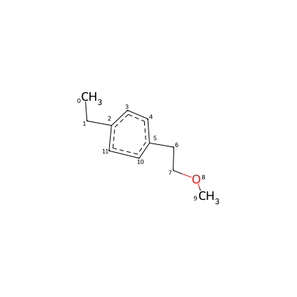 CCc1ccc(CCOC)cc1